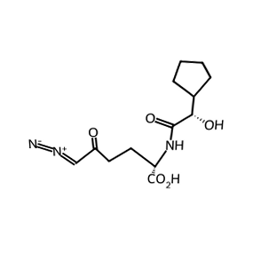 [N-]=[N+]=CC(=O)CC[C@H](NC(=O)[C@@H](O)C1CCCC1)C(=O)O